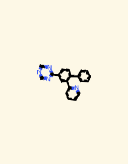 c1ccc(-c2ccc(-c3ncncn3)cc2-c2ccccn2)cc1